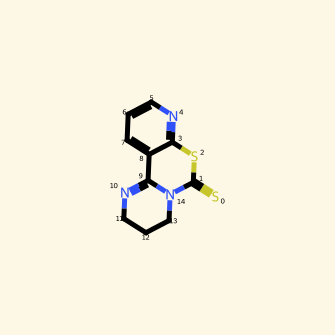 S=C1Sc2ncccc2C2=NCCCN12